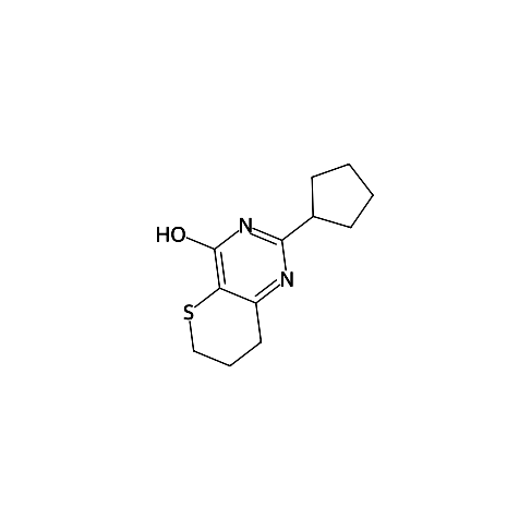 Oc1nc(C2CCCC2)nc2c1SCCC2